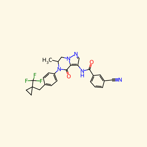 CC1Cn2ncc(NC(=O)c3cccc(C#N)c3)c2C(=O)N1c1ccc(CC2(C(F)(F)F)CC2)cc1